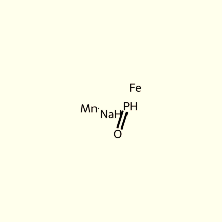 O=P.[Fe].[Mn].[NaH]